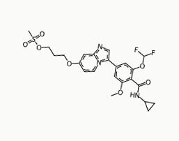 COc1cc(-c2cnc3cc(OCCCOS(C)(=O)=O)ccn23)cc(OC(F)F)c1C(=O)NC1CC1